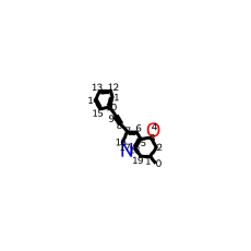 CC1CC(=O)c2cc(C#Cc3ccccc3)cnc2C1